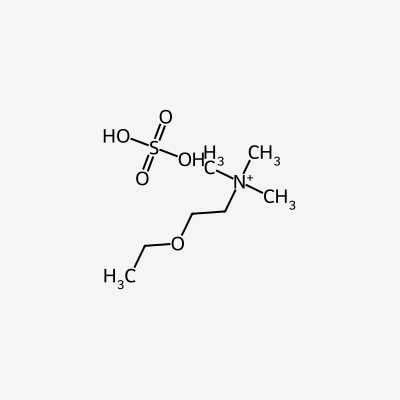 CCOCC[N+](C)(C)C.O=S(=O)(O)O